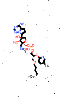 CCCCCCCCCCCCCCOC[C@H](COP(=O)(O)OC[C@@]1(/C=N\C)OC[C@@](O)(c2ccc3c(N)ncnn23)[C@@H]1O)Oc1ccc(C#N)cn1